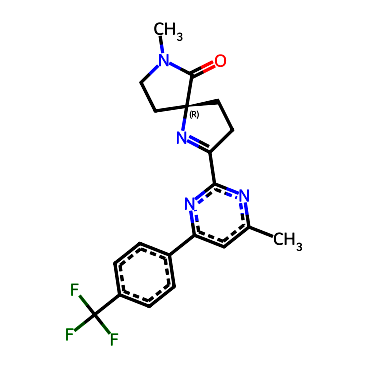 Cc1cc(-c2ccc(C(F)(F)F)cc2)nc(C2=N[C@]3(CC2)CCN(C)C3=O)n1